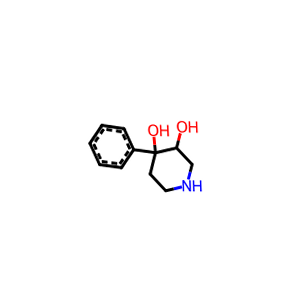 OC1CNCCC1(O)c1ccccc1